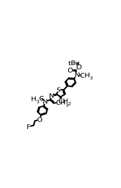 C=C1C=C(c2ccc(N(C)C(=O)OC(C)(C)C)cc2)S/C1=N/C(=C\C)N(C)c1ccc(OCCF)cc1